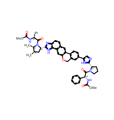 COC(=O)N[C@H](C(=O)N1[C@H](C)[C@H](C)C[C@H]1c1nc2ccc3cc4c(cc3c2[nH]1)OCc1cc(-c2cnc([C@@H]3CCCN3C(=O)[C@H](NC(=O)OC)c3ccccc3)[nH]2)ccc1-4)C(C)C